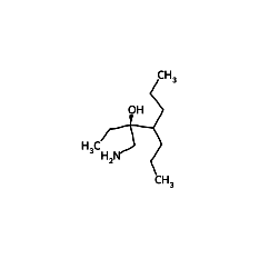 CCCC(CCC)[C@@](O)(CC)CN